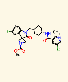 Cc1ncc(Cl)cc1C(=O)N[C@H]1CC[C@H](CN2C(=O)C3(CN(C(=O)OC(C)(C)C)C3)c3cc(F)ccc32)CC1